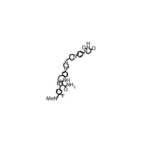 CNCc1ccc(-c2nn3c(c2C(N)=O)Nc2ccc(N4CCN(CC5CCN(c6ccc(N7CCC(=O)NC7=O)cc6)CC5)CC4)cc2CC3)cc1F